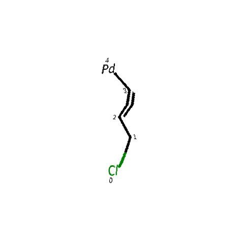 ClCC=[CH][Pd]